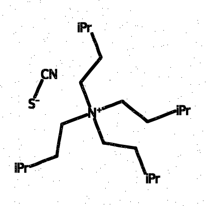 CC(C)CC[N+](CCC(C)C)(CCC(C)C)CCC(C)C.N#C[S-]